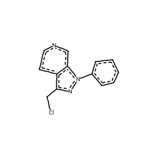 ClCc1nn(-c2ccccc2)c2cnccc12